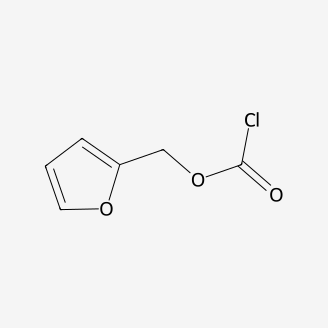 O=C(Cl)OCc1ccco1